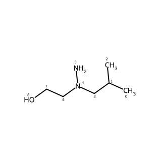 CC(C)CN(N)CCO